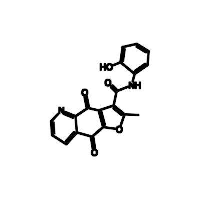 Cc1oc2c(c1C(=O)Nc1ccccc1O)C(=O)c1ncccc1C2=O